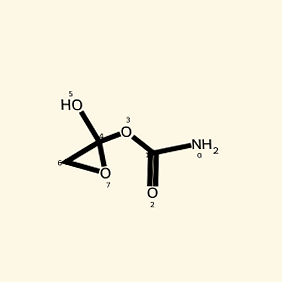 NC(=O)OC1(O)CO1